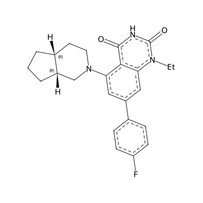 CCn1c(=O)[nH]c(=O)c2c(N3CC[C@H]4CCC[C@H]4C3)cc(-c3ccc(F)cc3)cc21